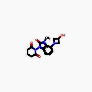 Cn1c(=O)n(N2C(=O)CCCC2=O)c2cccc(N3CC(O)C3)c21